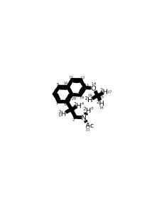 [2H]N(CC([2H])([2H])c1cccc2ccc(OC([2H])([2H])[2H])cc12)C(C)=O